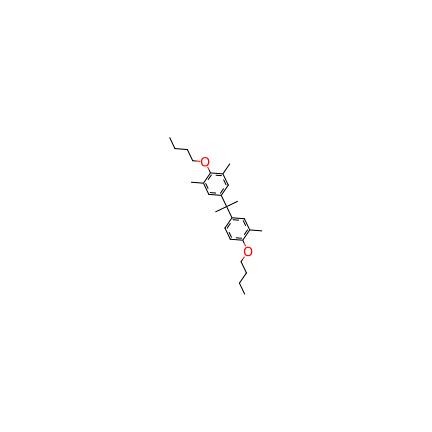 CCCCOc1ccc(C(C)(C)c2cc(C)c(OCCCC)c(C)c2)cc1C